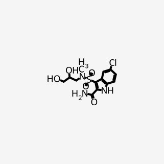 CN(CC(O)CO)S(=O)(=O)c1c(C(N)=O)[nH]c2ccc(Cl)cc12